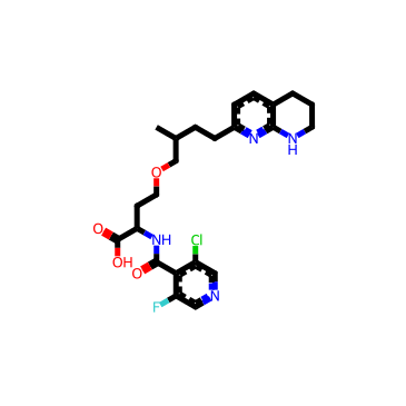 CC(CCc1ccc2c(n1)NCCC2)COCCC(NC(=O)c1c(F)cncc1Cl)C(=O)O